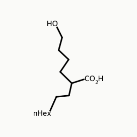 CCCCCCCCC(CCCCO)C(=O)O